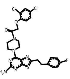 Nc1nc(N2CCN(C(=O)COc3ccc(Cl)cc3Cl)CC2)c2nc(CCc3ccc(F)cc3)sc2n1